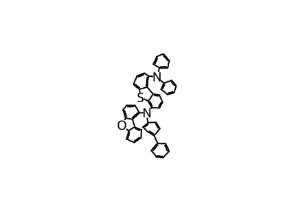 c1ccc(-c2ccc(N(c3cccc4c3sc3cccc(N(c5ccccc5)c5ccccc5)c34)c3cccc4oc5ccccc5c34)cc2)cc1